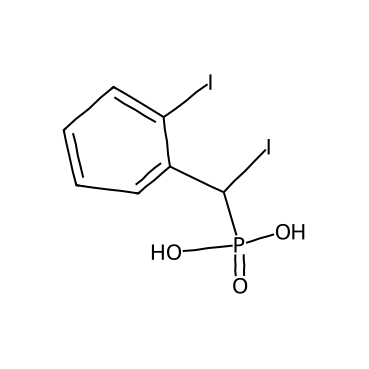 O=P(O)(O)C(I)c1ccccc1I